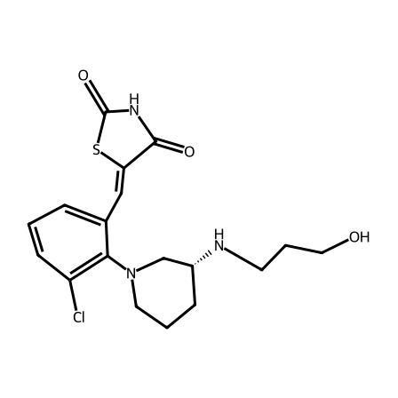 O=C1NC(=O)/C(=C/c2cccc(Cl)c2N2CCC[C@@H](NCCCO)C2)S1